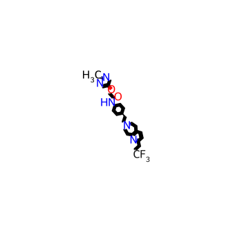 Cc1ncc(OCC(=O)N[C@H]2CC[C@H](CCN3CCc4ccc(CCC(F)(F)F)nc4CC3)CC2)cn1